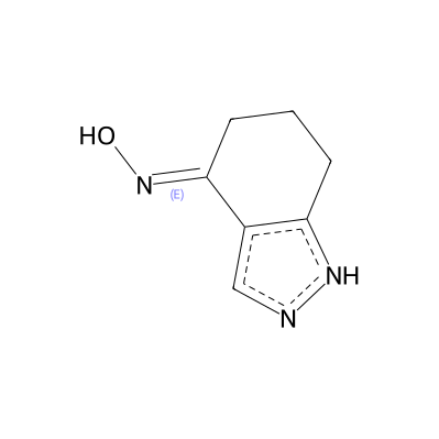 O/N=C1\CCCc2[nH]ncc21